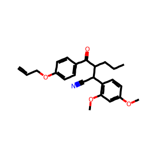 C=CCOc1ccc(C(=O)C(CCC)C(C#N)c2ccc(OC)cc2OC)cc1